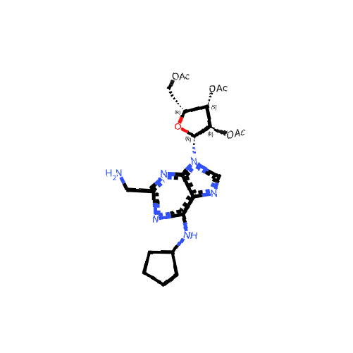 CC(=O)OC[C@H]1O[C@@H](n2cnc3c(NC4CCCC4)nc(CN)nc32)[C@H](OC(C)=O)[C@H]1OC(C)=O